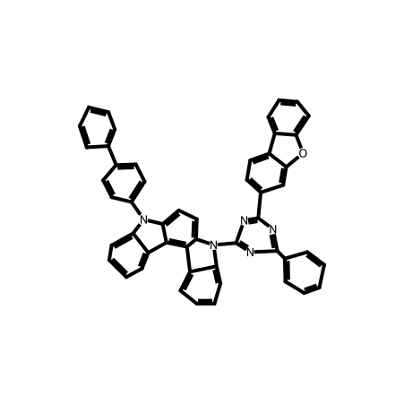 c1ccc(-c2ccc(-n3c4ccccc4c4c5c6ccccc6n(-c6nc(-c7ccccc7)nc(-c7ccc8c(c7)oc7ccccc78)n6)c5ccc43)cc2)cc1